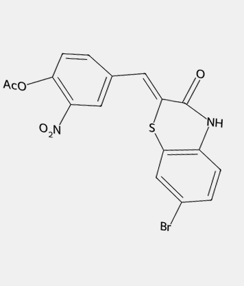 CC(=O)Oc1ccc(/C=C2\Sc3cc(Br)ccc3NC2=O)cc1[N+](=O)[O-]